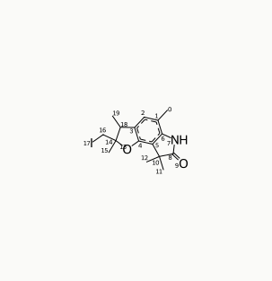 Cc1cc2c(c3c1NC(=O)C3(C)C)OC(C)(CI)C2C